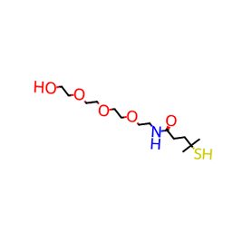 CC(C)(S)CCC(=O)NCCOCCOCCOCCO